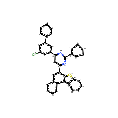 Clc1cc(-c2ccccc2)cc(-c2cc(-c3cc4ccccc4c4c3sc3ccccc34)nc(-c3ccccc3)n2)c1